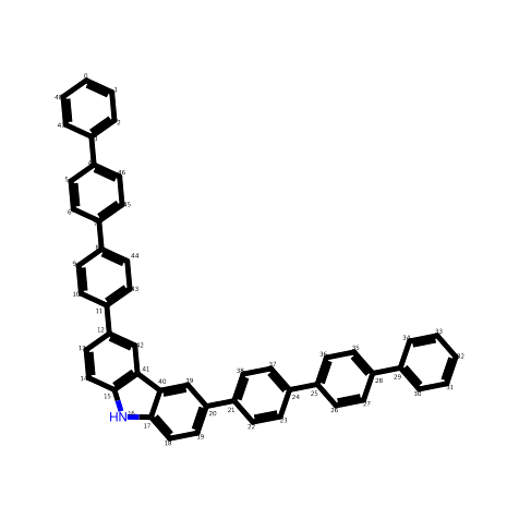 c1ccc(-c2ccc(-c3ccc(-c4ccc5[nH]c6ccc(-c7ccc(-c8ccc(-c9ccccc9)cc8)cc7)cc6c5c4)cc3)cc2)cc1